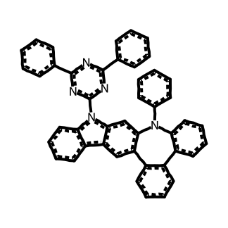 c1ccc(-c2nc(-c3ccccc3)nc(-n3c4ccccc4c4cc5c(cc43)N(c3ccccc3)c3ccccc3-c3ccccc3-5)n2)cc1